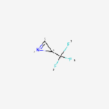 FC(F)(F)C1C=N1